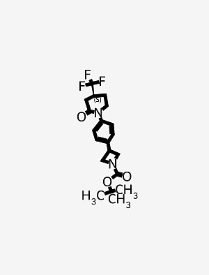 CC(C)(C)OC(=O)N1CC(c2ccc(N3CC[C@H](C(F)(F)F)CC3=O)cc2)C1